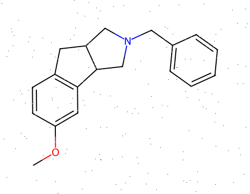 COc1ccc2c(c1)C1CN(Cc3ccccc3)CC1C2